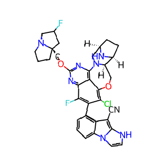 N#Cc1c2c(-c3c(Cl)c4c5c(nc(OC[C@@]67CCCN6CC(F)C7)nc5c3F)N3C[C@H]5CC[C@H](N5)[C@H]3CO4)cccc2n2cc[nH]c12